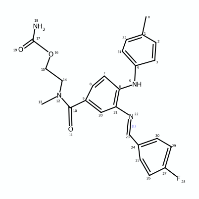 Cc1ccc(Nc2ccc(C(=O)N(C)CCOC(N)=O)cc2/N=C/c2ccc(F)cc2)cc1